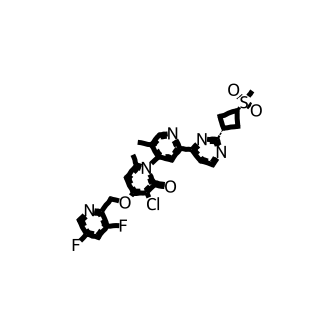 Cc1cnc(-c2ccnc([C@H]3C[C@H](S(C)(=O)=O)C3)n2)cc1-n1c(C)cc(OCc2ncc(F)cc2F)c(Cl)c1=O